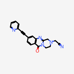 N#CCN1CCn2c(nc3cc(C#Cc4ccccn4)ccc3c2=O)C1